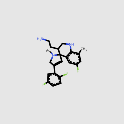 CC(=O)N1CC(c2cc(F)ccc2F)=CC12c1cc(F)cc(C)c1NCC2CCN